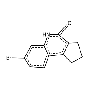 O=c1[nH]c2cc(Br)ccc2c2c1CCC2